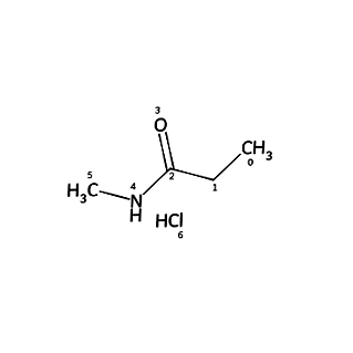 CCC(=O)NC.Cl